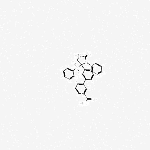 O=C(O)c1cccc(-c2cccc(C3(S(=O)(=O)c4ccccc4)CNC(=O)N3c3ccccc3)c2)c1